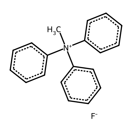 C[N+](c1ccccc1)(c1ccccc1)c1ccccc1.[F-]